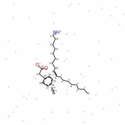 CCCCCCCC/C=C\CCCCCCCC[NH-].O=C([O-])Cc1ccccc1.[K+].[K+]